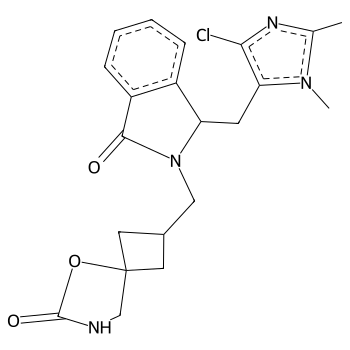 Cc1nc(Cl)c(CC2c3ccccc3C(=O)N2CC2CC3(CNC(=O)O3)C2)n1C